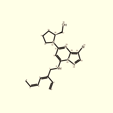 C=C/C(=C\C=C/C)CNc1cc(N2CCC[C@H]2CO)nc2c(Br)cnn12